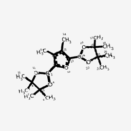 Cc1c(B2OC(C)(C)C(C)(C)O2)oc(B2OC(C)(C)C(C)(C)O2)c1C